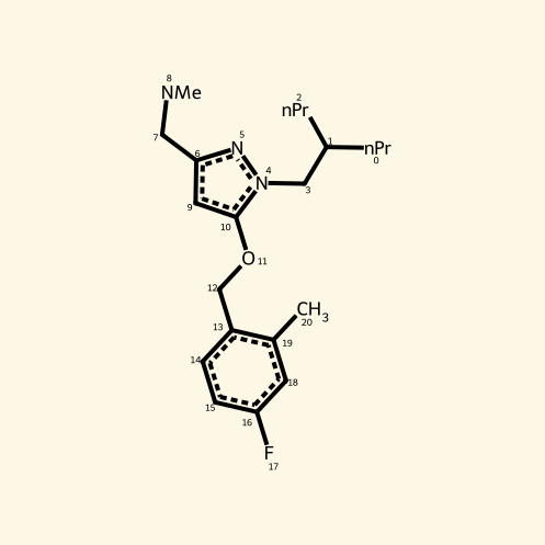 CCCC(CCC)Cn1nc(CNC)cc1OCc1ccc(F)cc1C